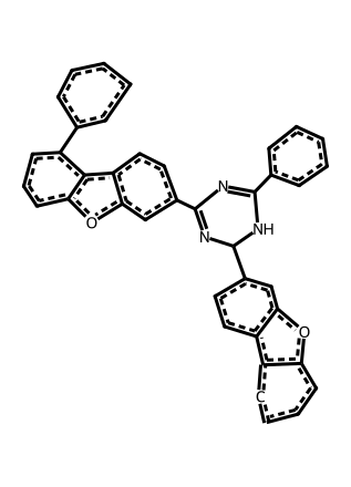 c1ccc(C2=NC(c3ccc4c(c3)oc3cccc(-c5ccccc5)c34)=NC(c3ccc4c(c3)oc3ccccc34)N2)cc1